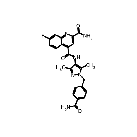 Cc1nn(Cc2ccc(C(N)=O)cc2)c(C)c1NC(=O)c1cc(C(N)=O)nc2cc(F)ccc12